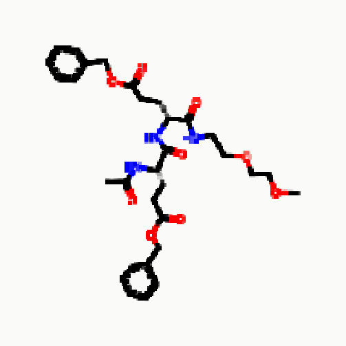 COCCOCCNC(=O)[C@@H](CCC(=O)OCc1ccccc1)NC(=O)[C@H](CCC(=O)OCc1ccccc1)NC(C)=O